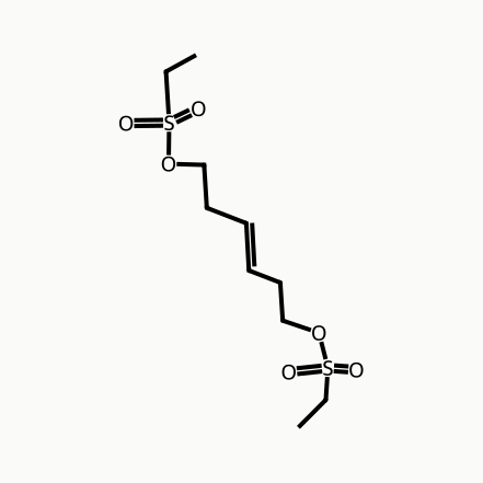 CCS(=O)(=O)OCC/C=C/CCOS(=O)(=O)CC